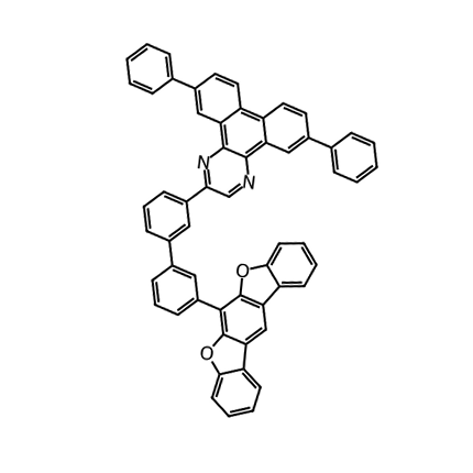 c1ccc(-c2ccc3c4ccc(-c5ccccc5)cc4c4nc(-c5cccc(-c6cccc(-c7c8oc9ccccc9c8cc8c7oc7ccccc78)c6)c5)cnc4c3c2)cc1